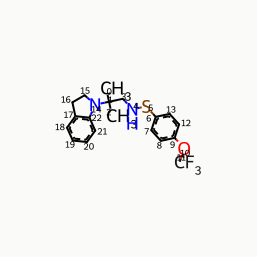 CC(C)(CNSc1ccc(OC(F)(F)F)cc1)N1CCc2ccccc21